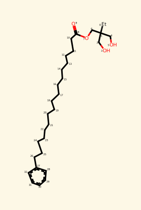 CCC(CO)(CO)COC(=O)CCCCCCCCCCCCCCCCCc1ccccc1